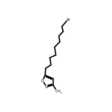 Cc1cc(CCCCCCCCCBr)on1